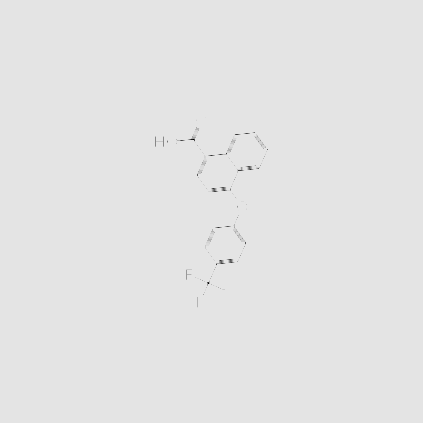 O=C(O)c1ccc(Oc2ccc(C(F)(F)F)cc2)c2ccccc12